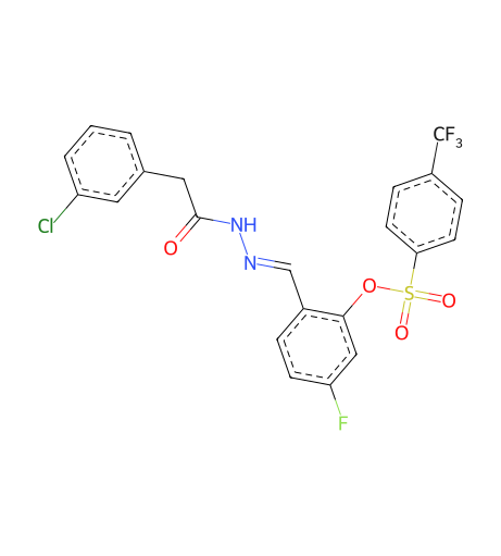 O=C(Cc1cccc(Cl)c1)NN=Cc1ccc(F)cc1OS(=O)(=O)c1ccc(C(F)(F)F)cc1